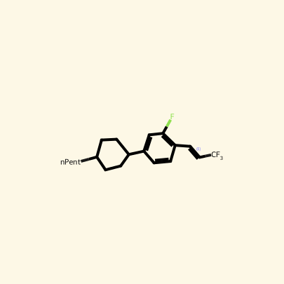 CCCCCC1CCC(c2ccc(/C=C/C(F)(F)F)c(F)c2)CC1